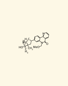 COCn1c(=O)c2cccnc2c2ccc(C(C)CC(C)(C)[Si](C)(C)O)cc21